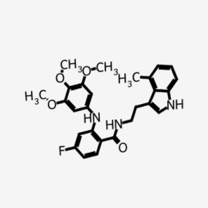 COc1cc(Nc2cc(F)ccc2C(=O)NCCc2c[nH]c3cccc(C)c23)cc(OC)c1OC